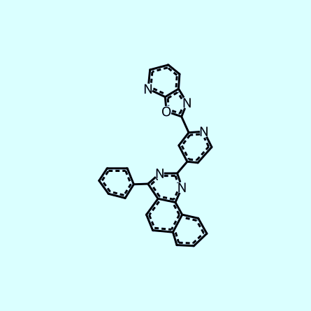 c1ccc(-c2nc(-c3ccnc(-c4nc5cccnc5o4)c3)nc3c2ccc2ccccc23)cc1